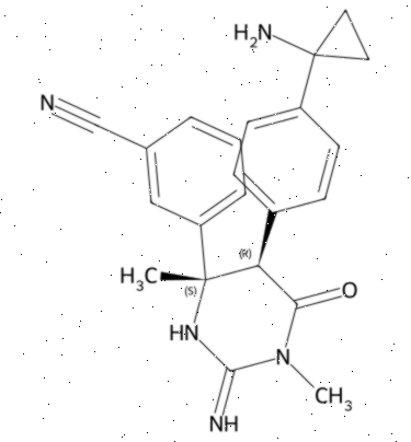 CN1C(=N)N[C@](C)(c2cccc(C#N)c2)[C@@H](c2ccc(C3(N)CC3)cc2)C1=O